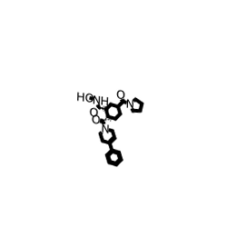 O=C(NO)[C@H]1CC(C(=O)N2CCCC2)CC[C@@H]1C(=O)N1CC=C(c2ccccc2)CC1